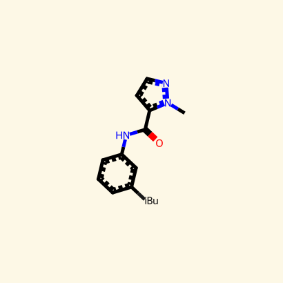 CCC(C)c1cccc(NC(=O)c2ccnn2C)c1